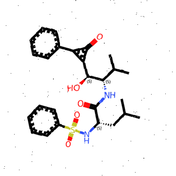 CC(C)C[C@H](NS(=O)(=O)c1ccccc1)C(=O)N[C@@H](C(C)C)[C@@H](O)c1c(-c2ccccc2)c1=O